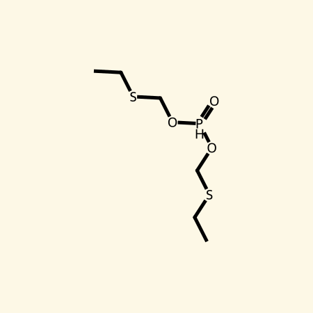 CCSCO[PH](=O)OCSCC